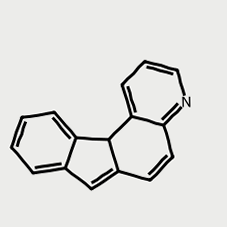 C1=Cc2ncccc2C2C1=Cc1ccccc12